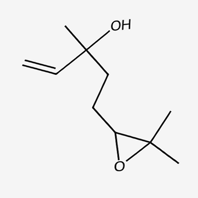 C=CC(C)(O)CCC1OC1(C)C